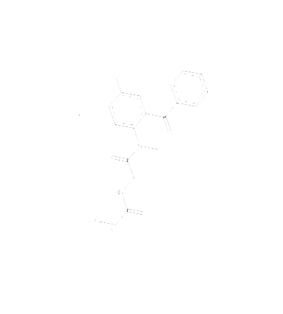 C[C@H](N)C(=O)NCC(=O)N(C)c1ccc(Cl)cc1C(=O)c1ccccc1.Cl